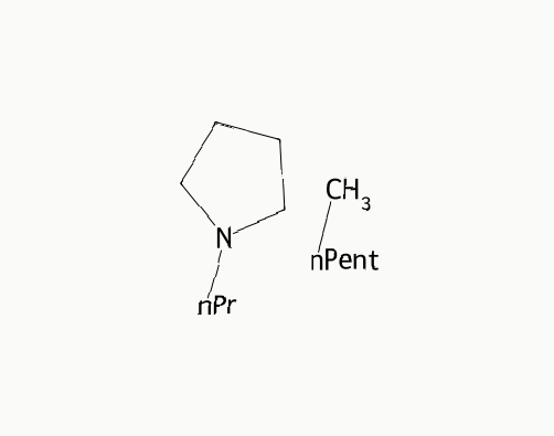 CCCCCC.CCCN1CCCC1